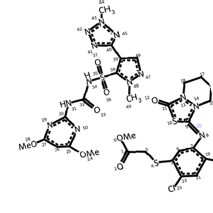 COC(=O)CSc1cc(/N=c2\sc(=O)n3n2CCCC3)c(F)cc1Cl.COc1cc(OC)nc(NC(=O)NS(=O)(=O)c2c(-c3nnn(C)n3)cnn2C)n1